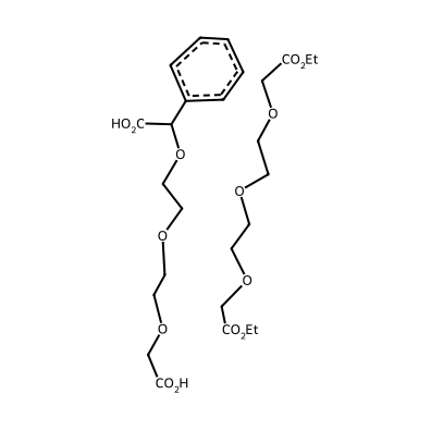 CCOC(=O)COCCOCCOCC(=O)OCC.O=C(O)COCCOCCOC(C(=O)O)c1ccccc1